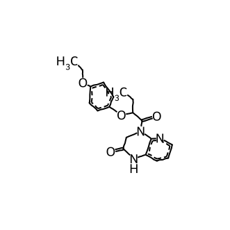 CCOc1ccc(OC(CC)C(=O)N2CC(=O)Nc3cccnc32)cc1